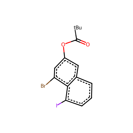 CC(C)(C)C(=O)Oc1cc(Br)c2c(I)cccc2c1